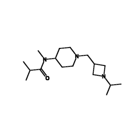 CC(C)C(=O)N(C)C1CCN(CC2CN(C(C)C)C2)CC1